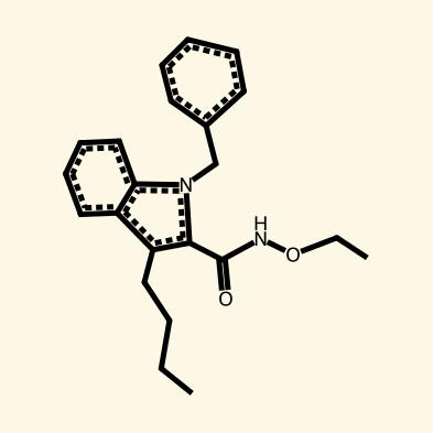 CCCCc1c(C(=O)NOCC)n(Cc2ccccc2)c2ccccc12